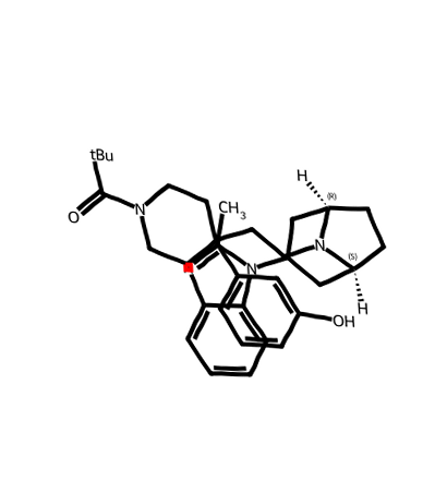 Cc1nc2ccccc2n1C1C[C@H]2CC[C@@H](C1)N2CCC1(c2cccc(O)c2)CCN(C(=O)C(C)(C)C)CC1